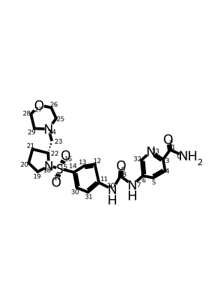 NC(=O)c1ccc(NC(=O)Nc2ccc(S(=O)(=O)N3CCC[C@@H]3CN3CCOCC3)cc2)cn1